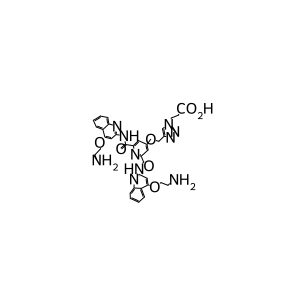 NCCOc1cc(NC(=O)c2cc(OCc3cn(CCC(=O)O)nn3)cc(C(=O)Nc3cc(OCCN)c4ccccc4n3)n2)nc2ccccc12